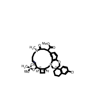 COC(=O)C1CC(=O)N(C)CC/C=C/C(O[Si](C)(C)C(C)(C)C)[C@@H]2CC[C@H]2CN2C[C@@]3(CCCc4cc(Cl)ccc43)COc3ccc1cc32